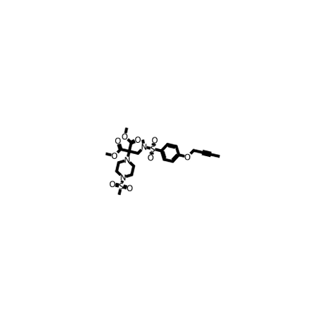 CC#CCOc1ccc(S(=O)(=O)N(C)CC(C(=O)OC)(C(=O)OC)N2CCN(S(C)(=O)=O)CC2)cc1